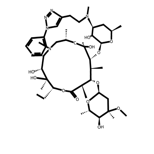 CC[C@H]1OC(=O)[C@H](C)[C@@H](O[C@H]2C[C@@](C)(OC)[C@@H](O)[C@H](C)O2)[C@H](C)[C@@H](O[C@@H]2O[C@H](C)C[C@H](N(C)CCc3cn(-c4ccncc4)nn3)[C@H]2O)[C@](C)(O)C[C@@H](C)CN(C)[C@H](C)[C@@H](O)[C@]1(C)O